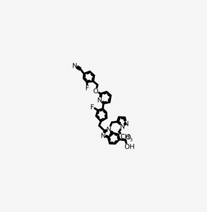 CCn1nccc1Cn1c(Cc2ccc(-c3cccc(OCc4ccc(C#N)cc4F)n3)c(F)c2)nc2ccc(C(=O)O)cc21